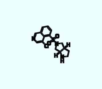 O=S(=O)(c1cccc2cncc(Cl)c12)N1C[C@@H]2CCN[C@@H]2C1